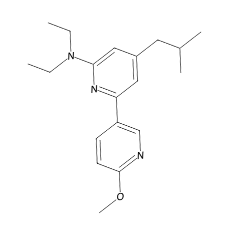 CCN(CC)c1cc(CC(C)C)cc(-c2ccc(OC)nc2)n1